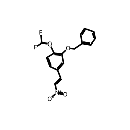 O=[N+]([O-])/C=C/c1ccc(OC(F)F)c(OCc2ccccc2)c1